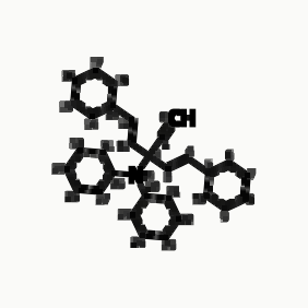 C#CC(C=Cc1ccccc1)(C=Cc1ccccc1)N(c1ccccc1)c1ccccc1